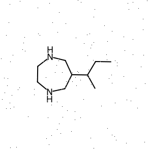 CCC(C)C1CNCCNC1